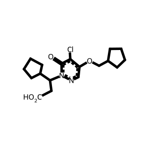 O=C(O)CC(C1CCCC1)n1ncc(OCC2CCCC2)c(Cl)c1=O